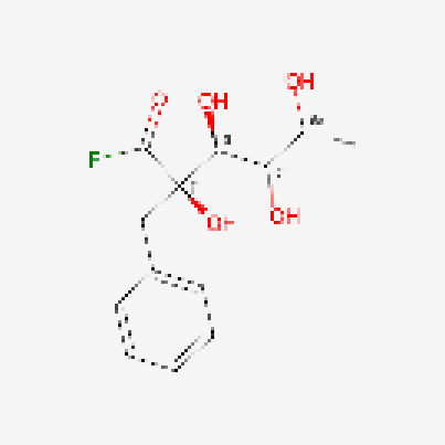 C[C@@H](O)[C@H](O)[C@H](O)[C@](O)(Cc1ccccc1)C(=O)F